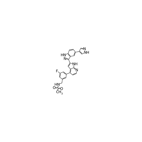 CS(=O)(=O)NCc1cc(F)cc(-c2ccnc3[nH]c(-c4n[nH]c5ccc(-c6cn[nH]c6)cc45)cc23)c1